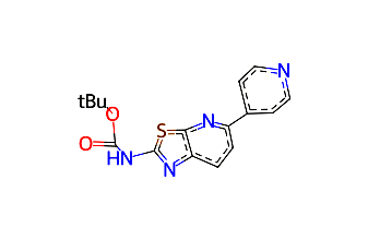 CC(C)(C)OC(=O)Nc1nc2ccc(-c3ccncc3)nc2s1